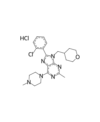 Cc1nc(N2CCN(C)CC2)c2nc(-c3ccccc3Cl)n(CC3CCOCC3)c2n1.Cl